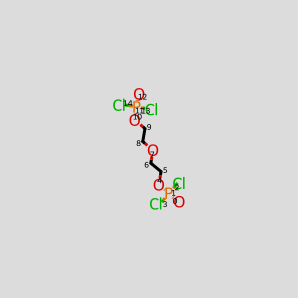 O=P(Cl)(Cl)OCCOCCOP(=O)(Cl)Cl